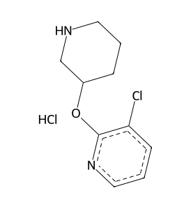 Cl.Clc1cccnc1OC1CCCNC1